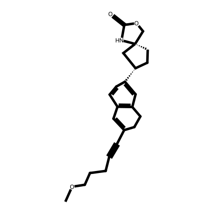 COCCCC#CC1=Cc2ccc([C@H]3CC[C@]4(COC(=O)N4)C3)cc2CC1